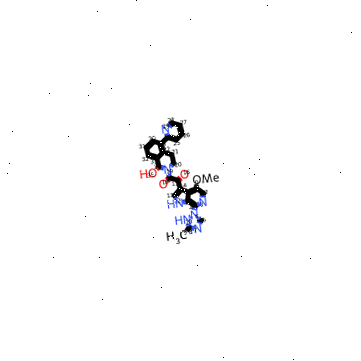 COc1cnc(N2C=NC(C)N2)c2[nH]cc(C(=O)C(=O)N3CCc4c(-c5ccccn5)cccc4C3O)c12